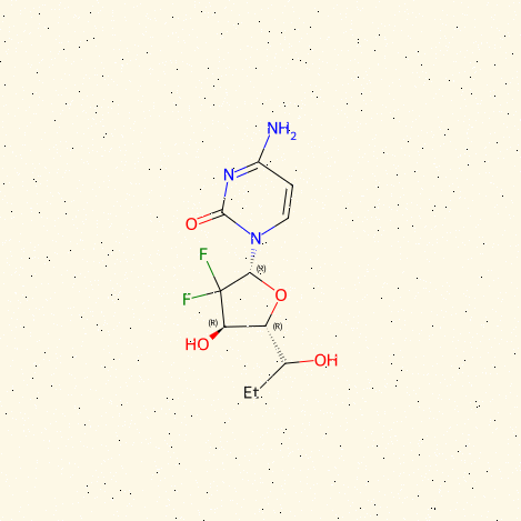 CCC(O)[C@H]1O[C@@H](n2ccc(N)nc2=O)C(F)(F)[C@@H]1O